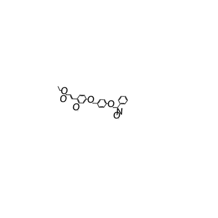 CCOC(=O)/C=C/c1ccc(OCc2ccc(OC/C(=N\OC)c3ccccc3)cc2)cc1OC